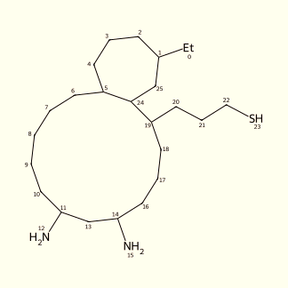 CCC1CCCC2CCCCCC(N)CC(N)CCCC(CCCS)C2C1